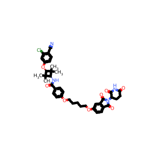 CC1(C)[C@H](NC(=O)c2ccc(OCCCCCOc3ccc4c(c3)C(=O)N(C3CCC(=O)NC3=O)C4=O)cc2)C(C)(C)[C@H]1Oc1ccc(C#N)c(Cl)c1